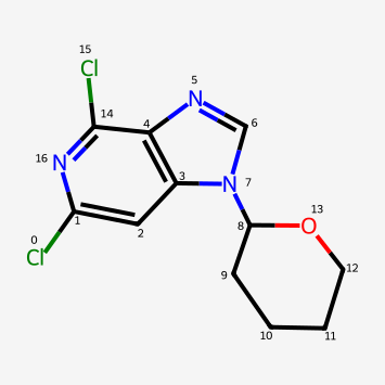 Clc1cc2c(ncn2C2CCCCO2)c(Cl)n1